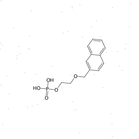 O=P(O)(O)OCCOCc1ccc2ccccc2c1